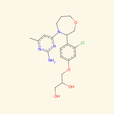 Cc1cc(N2CCCOCC2c2ccc(OCC(O)CO)cc2Cl)nc(N)n1